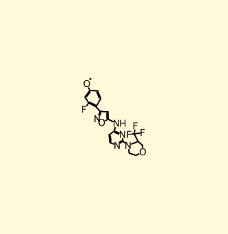 COc1ccc(-c2cc(Nc3ccnc(N4CCOCC4C(F)(F)F)n3)on2)c(F)c1